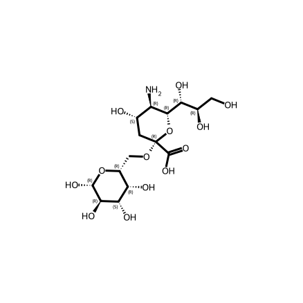 N[C@H]1[C@H]([C@H](O)[C@H](O)CO)O[C@@](OC[C@H]2O[C@@H](O)[C@H](O)[C@@H](O)[C@H]2O)(C(=O)O)C[C@@H]1O